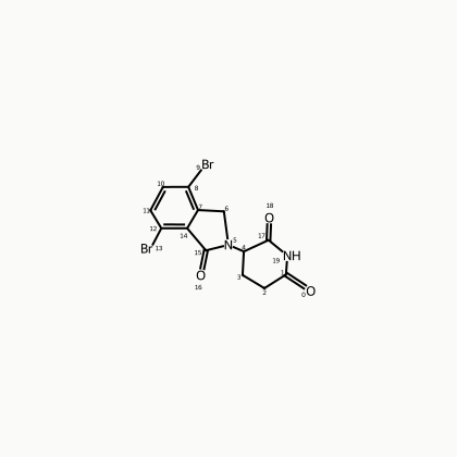 O=C1CCC(N2Cc3c(Br)ccc(Br)c3C2=O)C(=O)N1